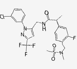 CC(C(=O)NCc1cc(C(F)(F)F)nn1-c1cccc(Cl)c1)c1ccc(CN(C)S(C)(=O)=O)c(F)c1